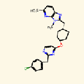 Cn1c(C[C@H]2CC[C@H](Oc3ccnc(Cc4ccc(Cl)cc4)n3)CC2)nc2ccc(C(=O)O)nc21